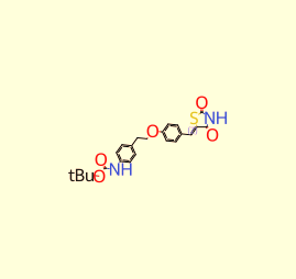 CC(C)(C)OC(=O)Nc1ccc(CCOc2ccc(/C=C3\SC(=O)NC3=O)cc2)cc1